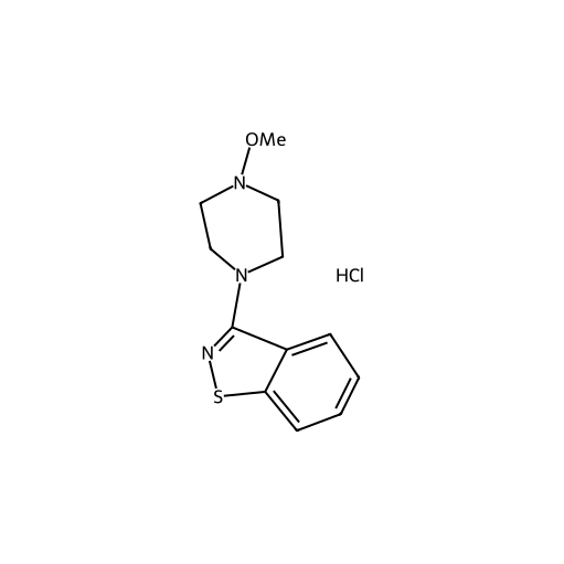 CON1CCN(c2nsc3ccccc23)CC1.Cl